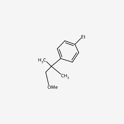 CCc1ccc(C(C)(C)COC)cc1